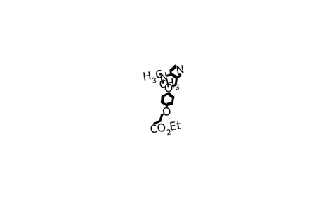 CCOC(=O)CCCOc1ccc(OCc2cnccc2N(C)C)cc1